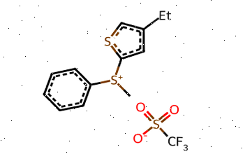 CCc1csc([S+](C)c2ccccc2)c1.O=S(=O)([O-])C(F)(F)F